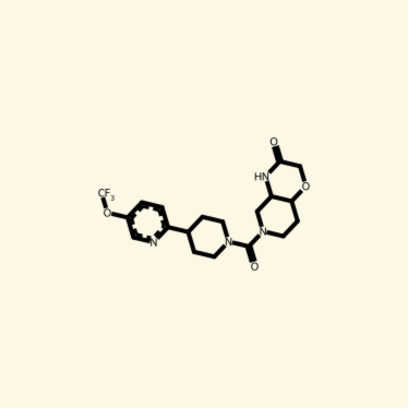 O=C1COC2CCN(C(=O)N3CCC(c4ccc(OC(F)(F)F)cn4)CC3)CC2N1